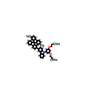 COCCOc1cc(OCCOC)cc(-n2c3ccccc3c3cc(-c4ccc5c(c4)C4(c6ccccc6-5)c5cc(C#N)ccc5-c5ccc(C#N)cc54)ccc32)c1